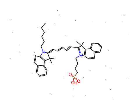 CCCCCCN1/C(=C/C=C/C=C/C2=[N+](CCCCS(=O)(=O)O)c3ccc4ccccc4c3C2(C)C)C(C)(C)c2c1ccc1ccccc21